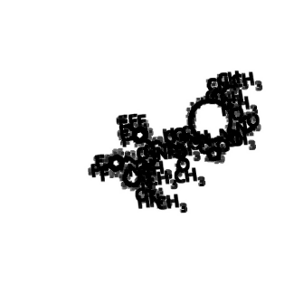 CCO[C@@H]1C[C@@H](C(=O)N[C@@]2(C)C/C=C\CCCC[C@@H](N[C@H](C(C)=O)[C@@H](C)CC)N(C)C(=O)C[C@@H](C(=O)N3CCOCC3)N(C)C(=O)[C@H](C3CCCC3)N(C)C2=O)N(C(=O)[C@H](CCc2cc(F)c(C(F)(F)F)c(F)c2)NC(=O)CN(C)C(=O)[C@H](Cc2ccc(C(F)(F)F)cc2)N2CCCC[C@H](N(C)C(=O)CNC)C2=O)C1